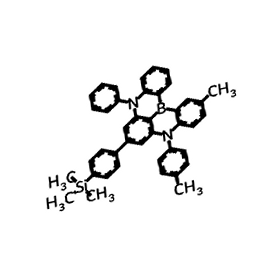 Cc1ccc(N2c3ccc(C)cc3B3c4ccccc4N(c4ccccc4)c4cc(-c5ccc([Si](C)(C)C)cc5)cc2c43)cc1